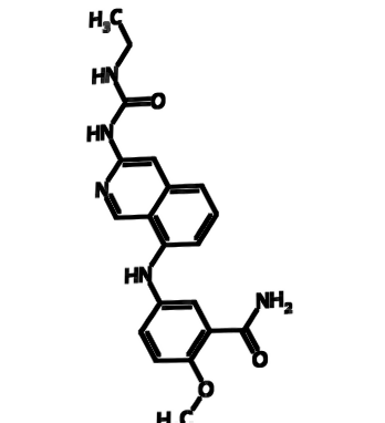 CCNC(=O)Nc1cc2cccc(Nc3ccc(OC)c(C(N)=O)c3)c2cn1